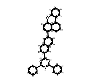 c1ccc(-c2nc(-c3ccccc3)nc(-c3ccc4cc(-c5ccc6c7c(cccc57)-c5ccccc5O6)ccc4c3)n2)cc1